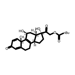 CCCCC(=O)OCC(=O)[C@@]1(O)CC[C@H]2C3=C([C@@H](O)C[C@@]21C)[C@@]1(C)C=CC(=O)C=C1CC3